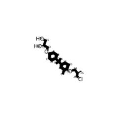 Cc1cc(C(C)(C)c2ccc(OC[C@H](O)CO)cc2)ccc1OC[C@@H](C)CCl